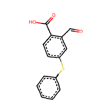 O=Cc1cc(Sc2ccccc2)ccc1C(=O)O